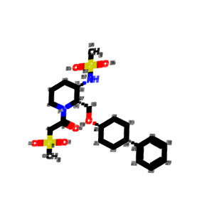 CS(=O)(=O)CC(=O)N1CCC[C@H](NS(C)(=O)=O)[C@@H]1CO[C@H]1CC[C@@H](c2ccccc2)CC1